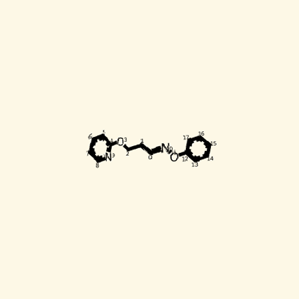 C(CCOc1ccccn1)=NOc1ccccc1